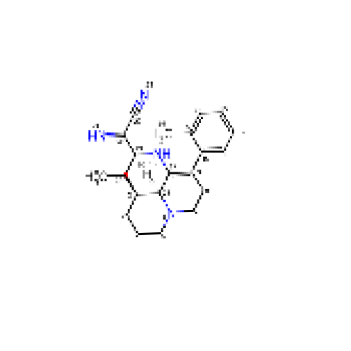 CC[C@]12CCCN3CCC(c4ccccc4C)=C(NC(C(=N)C#N)C1)[C@@H]32